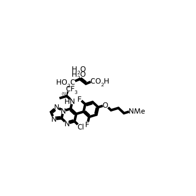 CNCCCOc1cc(F)c(-c2c(Cl)nc3ncnn3c2N[C@@H](C)C(F)(F)F)c(F)c1.O.O.O=C(O)C=CC(=O)O